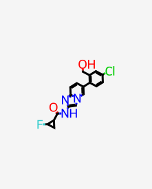 O=C(Nc1cn2cc(-c3ccc(Cl)cc3CO)ccc2n1)C1CC1F